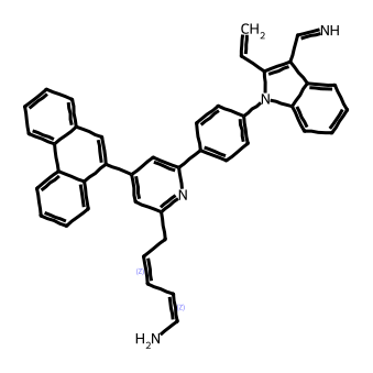 C=Cc1c(C=N)c2ccccc2n1-c1ccc(-c2cc(-c3cc4ccccc4c4ccccc34)cc(C/C=C\C=C/N)n2)cc1